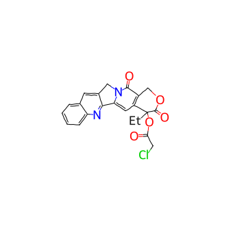 CCC1(OC(=O)CCl)C(=O)OCc2c1cc1n(c2=O)Cc2cc3ccccc3nc2-1